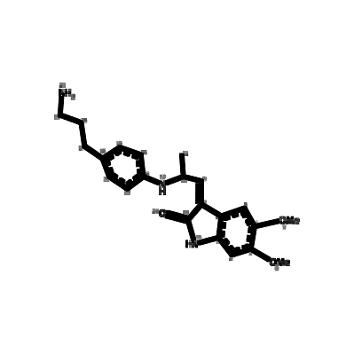 COc1cc2c(cc1OC)C(=CC(C)Nc1ccc(CCCN)cc1)C(=O)N2